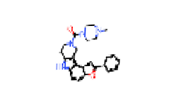 CN1CCN(C(=O)N2CCc3[nH]c4ccc5oc(-c6ccccc6)cc5c4c3C2)CC1